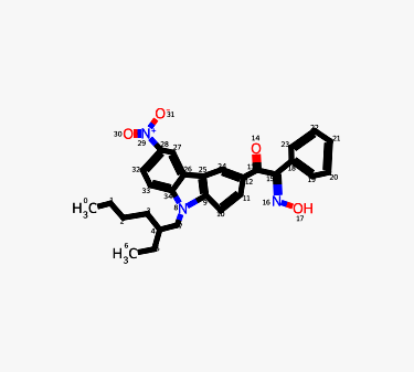 CCCCC(CC)Cn1c2ccc(C(=O)C(=NO)c3ccccc3)cc2c2cc([N+](=O)[O-])ccc21